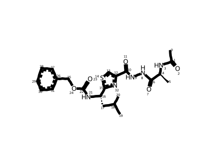 CC(=O)N[C@@H](C)C(=O)NNC(=O)c1csc([C@H](CC(C)C)NC(=O)OCc2ccccc2)n1